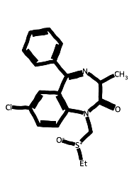 CC[S+]([O-])CN1C(=O)C(C)N=C(c2ccccc2)c2cc(Cl)ccc21